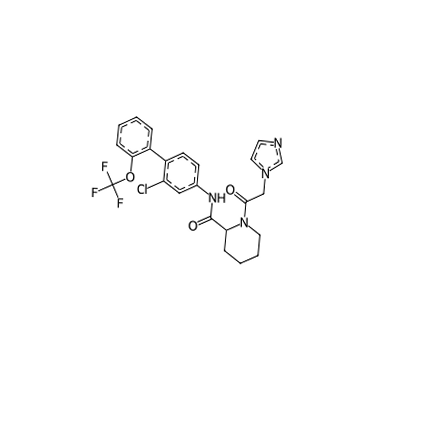 O=C(Nc1ccc(-c2ccccc2OC(F)(F)F)c(Cl)c1)C1CCCCN1C(=O)Cn1ccnc1